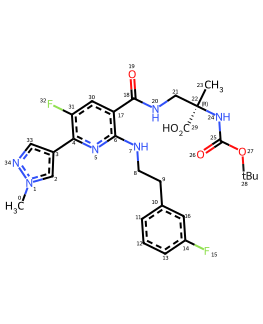 Cn1cc(-c2nc(NCCc3cccc(F)c3)c(C(=O)NC[C@@](C)(NC(=O)OC(C)(C)C)C(=O)O)cc2F)cn1